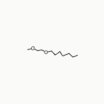 CCCCCCCOCCOC